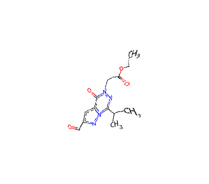 CCOC(=O)Cn1nc(C(C)C)n2nc(C=O)cc2c1=O